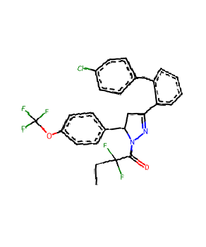 CCC(F)(F)C(=O)N1N=C(c2ccccc2-c2ccc(Cl)cc2)CC1c1ccc(OC(F)(F)F)cc1